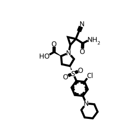 N#CC1(C(N)=O)CC1N1C[C@H](S(=O)(=O)c2ccc(N3CCCCC3)cc2Cl)C[C@H]1C(=O)O